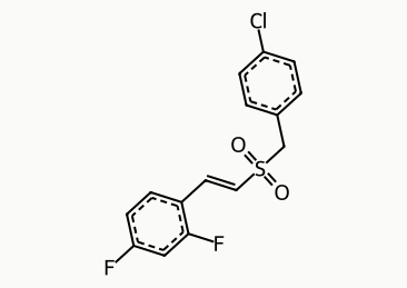 O=S(=O)(C=Cc1ccc(F)cc1F)Cc1ccc(Cl)cc1